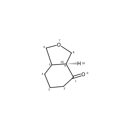 O=C1CCCC2COC[C@@H]12